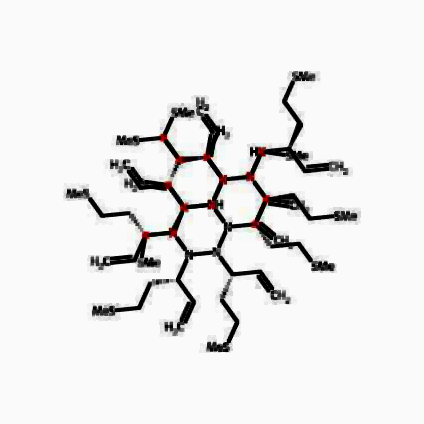 C=C[C@H](CCSC)NN([C@H](C=C)CCSC)N([C@H](C=C)CCSC)N([C@H](C=C)CCSC)N([C@H](C=C)CCSC)N([C@H](C=C)CCSC)N([C@H](C=C)CCSC)N([C@H](C=C)CCSC)N(N[C@H](C=C)CCSC)[C@H](C=C)CCSC